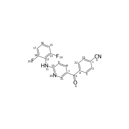 N#Cc1ccc(C(=O)c2ccc(Nc3c(F)cccc3F)nc2)cc1